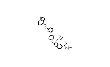 CC(C)(C)OC(=O)c1ccc2nc(CN3CCC(c4cccc(OCc5cccn6nccc56)n4)CC3)n(CC3CCO3)c2c1